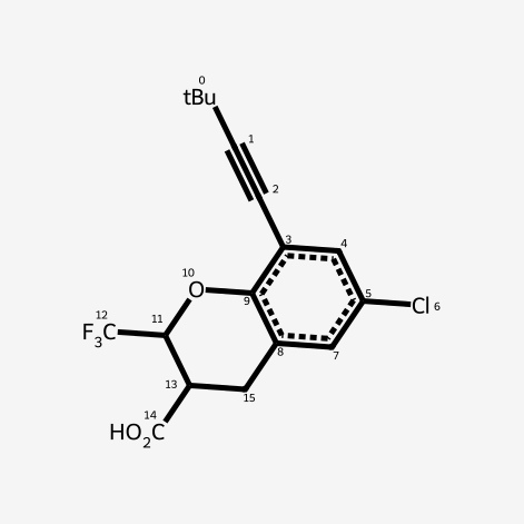 CC(C)(C)C#Cc1cc(Cl)cc2c1OC(C(F)(F)F)C(C(=O)O)C2